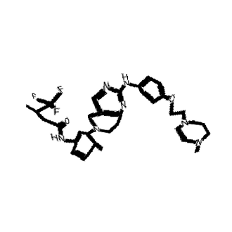 Cc1ccc(NC(=O)CC(C)C(F)(F)F)cc1N1CCc2nc(Nc3ccc(OCCN4CCN(C)CC4)cc3)ncc2C1